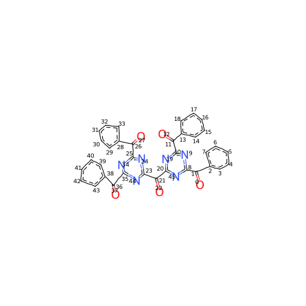 O=C(c1ccccc1)c1nc(C(=O)c2ccccc2)nc(C(=O)c2nc(C(=O)c3ccccc3)nc(C(=O)c3ccccc3)n2)n1